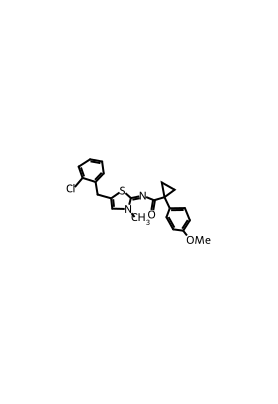 COc1ccc(C2(C(=O)/N=c3/sc(Cc4ccccc4Cl)cn3C)CC2)cc1